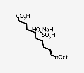 CCCCCCCCC=CCCCCCCCC(=O)O.O=S(=O)(O)O.[NaH]